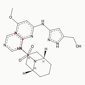 COc1cc(Nc2cc(CO)[nH]n2)nc(N[C@H]2C[C@H]3CCC[C@@H](C2)N3S(=O)(=O)c2cccnc2)n1